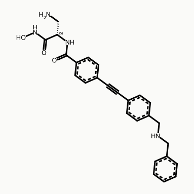 NC[C@H](NC(=O)c1ccc(C#Cc2ccc(CNCc3ccccc3)cc2)cc1)C(=O)NO